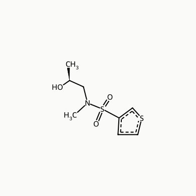 C[C@H](O)CN(C)S(=O)(=O)c1ccsc1